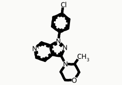 CC1COCCN1c1nn(-c2ccc(Cl)cc2)c2cnccc12